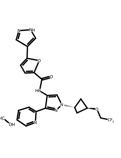 O=C(Nc1cn([C@H]2C[C@H](OCC(F)(F)F)C2)nc1-c1ccccn1)c1ccc(-c2cn[nH]c2)o1.O=CO